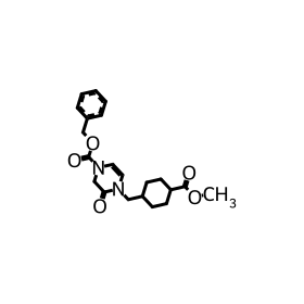 COC(=O)C1CCC(CN2C=CN(C(=O)OCc3ccccc3)CC2=O)CC1